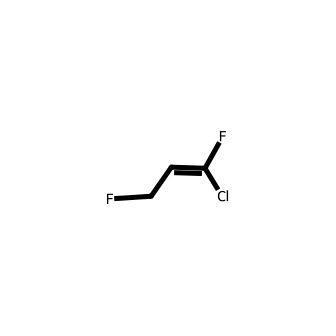 FCC=C(F)Cl